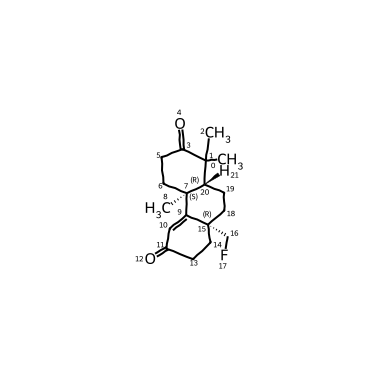 CC1(C)C(=O)CC[C@]2(C)C3=CC(=O)CC[C@]3(CF)CC[C@@H]12